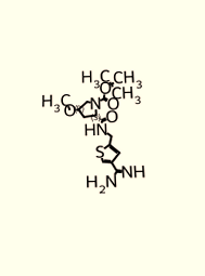 CO[C@@H]1C[C@@H](C(=O)NCc2cc(C(=N)N)cs2)N(C(=O)OC(C)(C)C)C1